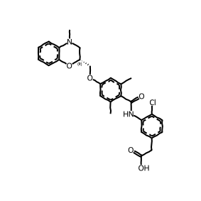 Cc1cc(OC[C@H]2CN(C)c3ccccc3O2)cc(C)c1C(=O)Nc1cc(CC(=O)O)ccc1Cl